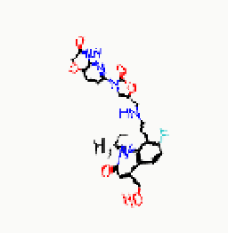 Cn1c(=O)cc(CO)c2ccc(F)c(CCNC[C@H]3CN(c4ccc5c(n4)NC(=O)CO5)C(=O)O3)c21